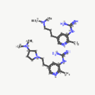 Cc1ncc(CCCN(C(=O)O)C(C)(C)C)cc1NC(=N)N.Cc1ncc(CCN2CCC(N(C)C)C2)cc1NC(=N)N